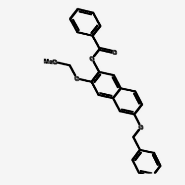 COCOc1cc2cc(OCc3ccccc3)ccc2cc1OC(=O)c1ccccc1